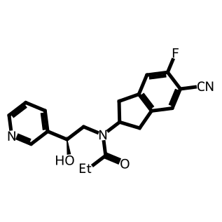 CCC(=O)N(C[C@@H](O)c1cccnc1)C1Cc2cc(F)c(C#N)cc2C1